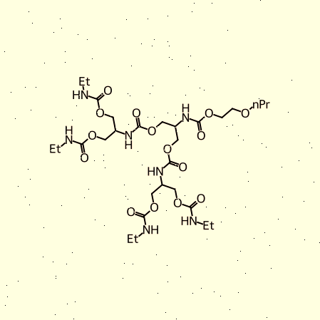 CCCOCCOC(=O)NC(COC(=O)NC(COC(=O)NCC)COC(=O)NCC)COC(=O)NC(COC(=O)NCC)COC(=O)NCC